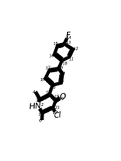 Cc1[nH]c(C)c(-c2ccc(-c3ccc(F)cc3)cc2)c(=O)c1Cl